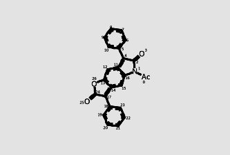 CC(=O)N1C(=O)C(c2ccccc2)=c2cc3c(cc21)=C(c1ccccc1)C(=O)O3